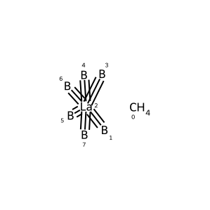 C.[B]#[La](#[B])(#[B])(#[B])(#[B])#[B]